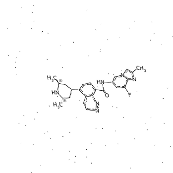 Cc1cn2cc(NC(=O)c3ccc(C4C[C@H](C)N[C@@H](C)C4)c4ccnnc34)cc(F)c2n1